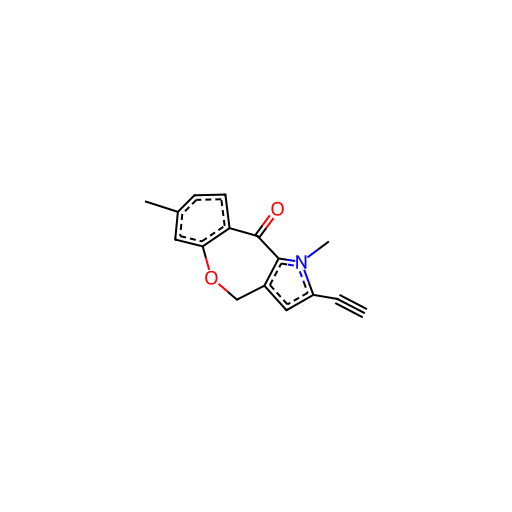 C#Cc1cc2c(n1C)C(=O)c1ccc(C)cc1OC2